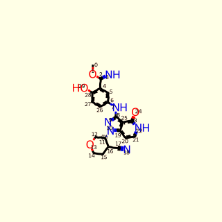 COC(=N)c1cc(Nc2nn([C@H]3COCCC3C#N)c3cc[nH]c(=O)c23)ccc1O